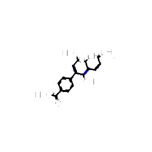 C=C\C=C/C(C(C)=O)=C(C)/C(=C\CC)c1ccc(C(C)=O)cc1